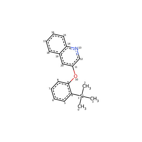 C[Si](C)(C)c1ccccc1Oc1cnc2ccccc2c1